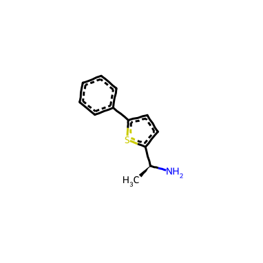 C[C@H](N)c1ccc(-c2ccccc2)s1